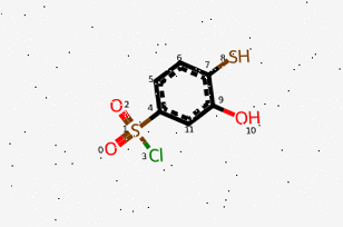 O=S(=O)(Cl)c1ccc(S)c(O)c1